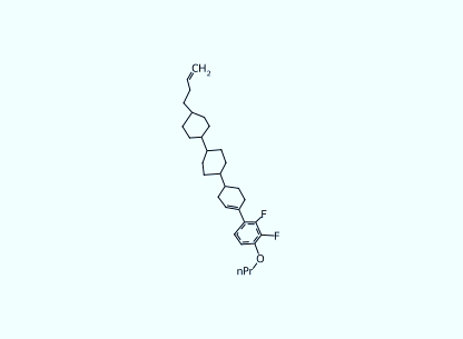 C=CCCC1CCC(C2CCC(C3CC=C(c4ccc(OCCC)c(F)c4F)CC3)CC2)CC1